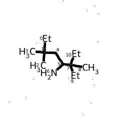 CCC(C)(C)CC(N)C(C)(CC)CC